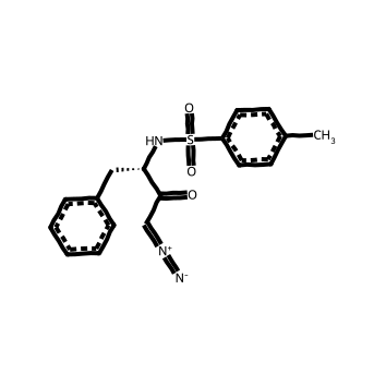 Cc1ccc(S(=O)(=O)N[C@@H](Cc2ccccc2)C(=O)C=[N+]=[N-])cc1